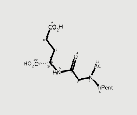 CCCCCN(CC(=O)N[C@@H](CCC(=O)O)C(=O)O)C(C)=O